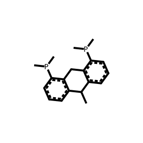 CC1c2cccc(P(C)C)c2Cc2c1cccc2P(C)C